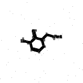 CCCCCCN1CC=CN(CC)C1=O